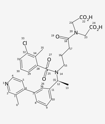 Cc1cnccc1-c1cccc([C@H](C)N(CCCC(=O)N(CC(=O)O)CC(=O)O)S(=O)(=O)c2cccc(Cl)c2C)c1